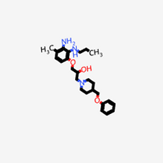 CCCNc1c(OCC(O)CN2CCC(COc3ccccc3)CC2)ccc(C)c1N